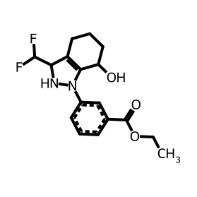 CCOC(=O)c1cccc(N2NC(C(F)F)C3=C2C(O)CCC3)c1